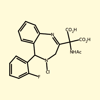 CC(=O)NC(C(=O)O)(C(=O)O)C1=Nc2ccccc2C(c2ccccc2F)N(Cl)C1